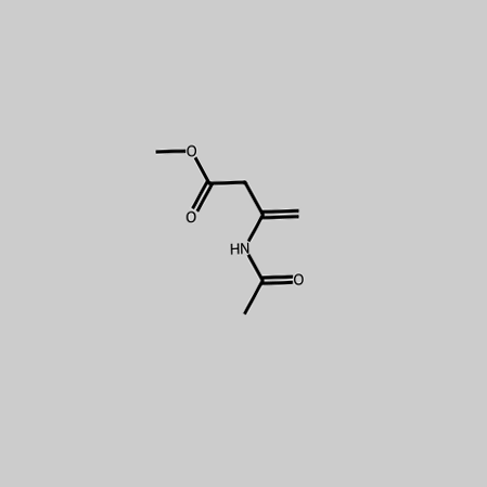 C=C(CC(=O)OC)NC(C)=O